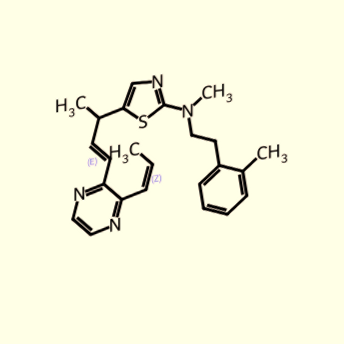 C/C=C\c1nccnc1/C=C/C(C)c1cnc(N(C)CCc2ccccc2C)s1